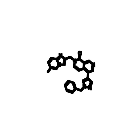 Cc1ccc2nc(Cn3ccc4c(-c5cnn(Cc6ccccc6)c5)cncc4c3=O)cn2c1